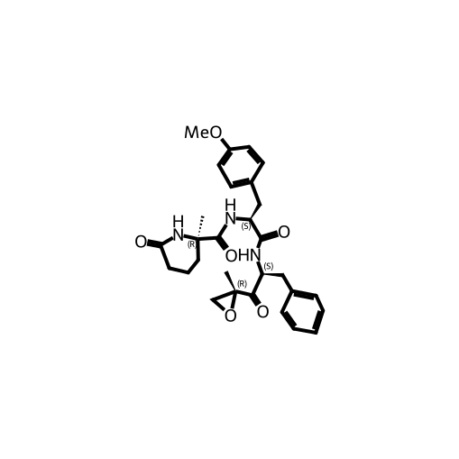 COc1ccc(C[C@H](NC(=O)[C@@]2(C)CCCC(=O)N2)C(=O)N[C@@H](Cc2ccccc2)C(=O)[C@@]2(C)CO2)cc1